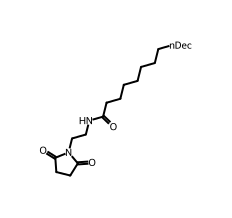 CCCCCCCCCCCCCCCCCC(=O)NCCN1C(=O)CCC1=O